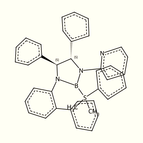 CS(C)(B1N(c2ccccn2)[C@@H](c2ccccc2)[C@H](c2ccccc2)N1c1ccccc1-c1ccccc1)c1ccccc1